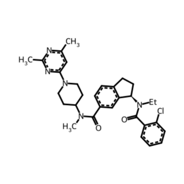 CCN(C(=O)c1ccccc1Cl)[C@@H]1CCc2ccc(C(=O)N(C)C3CCN(c4cc(C)nc(C)n4)CC3)cc21